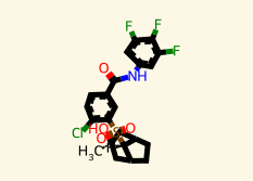 C[C@]1(O)CC2CCC(C1)[C@@H]2S(=O)(=O)c1cc(C(=O)Nc2cc(F)c(F)c(F)c2)ccc1Cl